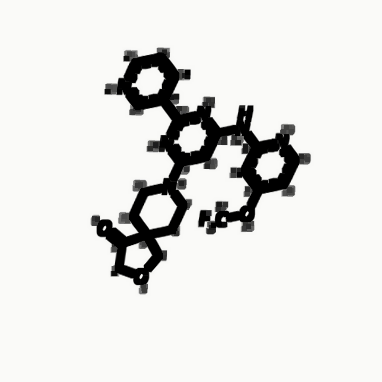 O=C1COCC12CCN(c1cc(Nc3cc(OC(F)(F)F)ccn3)nc(-c3cccnc3)n1)CC2